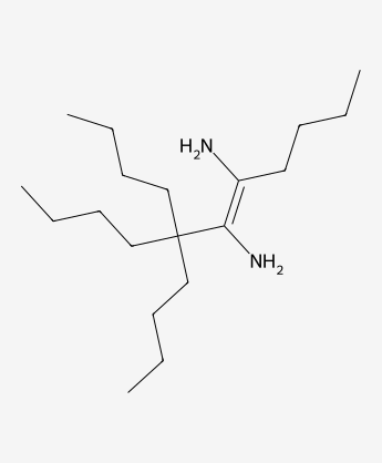 CCCCC(N)=C(N)C(CCCC)(CCCC)CCCC